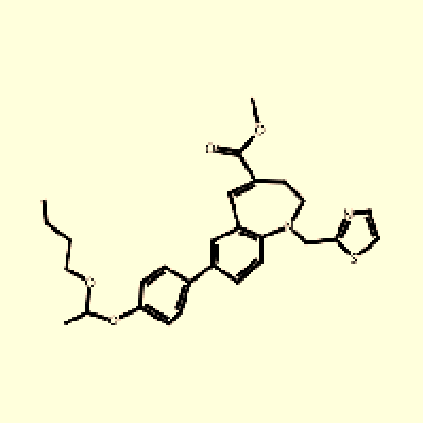 CCCCOC(C)Oc1ccc(-c2ccc3c(c2)C=C(C(=O)OC)CCN3Cc2nccs2)cc1